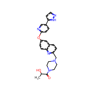 CC(O)C(=O)N1CCN(Cc2ccc3cc(Oc4ccc(-c5ccn[nH]5)cn4)ccc3n2)CC1